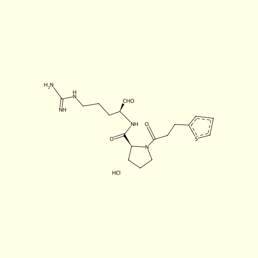 Cl.N=C(N)NCCC[C@@H](C=O)NC(=O)[C@@H]1CCCN1C(=O)CCc1cccs1